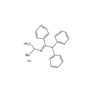 CC(C)(C)C(N=C(c1ccccc1)P(c1ccccc1)c1ccccc1)C(=O)O.[Cu]